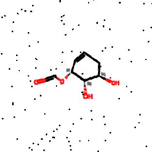 O=CO[C@@H]1C=CC[C@@H](O)[C@@H]1O